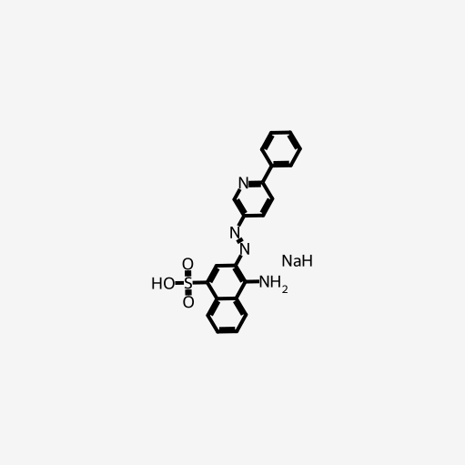 Nc1c(N=Nc2ccc(-c3ccccc3)nc2)cc(S(=O)(=O)O)c2ccccc12.[NaH]